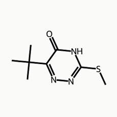 CSc1nnc(C(C)(C)C)c(=O)[nH]1